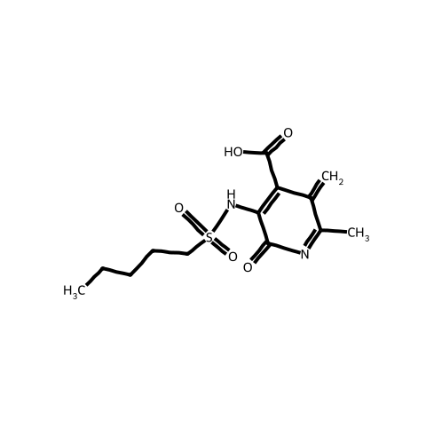 C=C1C(C)=NC(=O)C(NS(=O)(=O)CCCCC)=C1C(=O)O